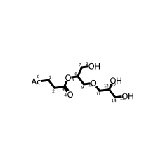 CC(=O)CCC(=O)OC(CO)COCC(O)CO